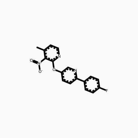 Cc1ccnc(Oc2ccc(-c3ccc(F)cc3)nc2)c1[N+](=O)[O-]